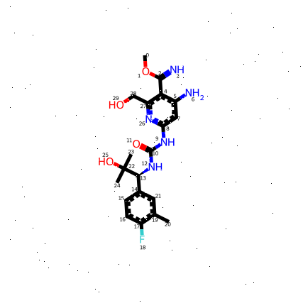 COC(=N)c1c(N)cc(NC(=O)N[C@@H](c2ccc(F)c(C)c2)C(C)(C)O)nc1CO